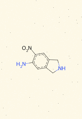 Nc1cc2c(cc1[N+](=O)[O-])CNC2